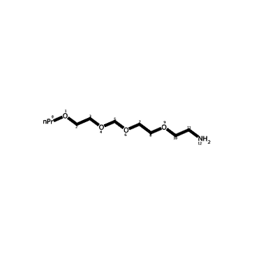 CCCOCCOCOCCOCCN